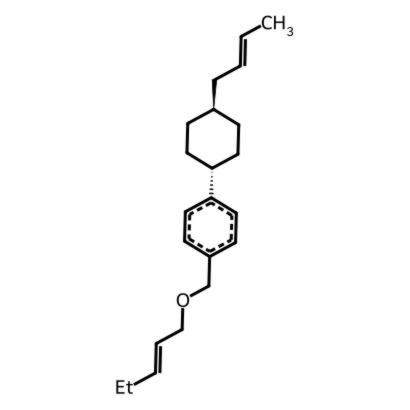 CC=CC[C@H]1CC[C@H](c2ccc(COCC=CCC)cc2)CC1